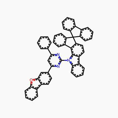 c1ccc(-c2cc(-c3ccc4c(c3)oc3ccccc34)nc(-n3c4ccccc4c4ccc5c(c43)-c3ccccc3C53c4ccccc4-c4ccccc43)n2)cc1